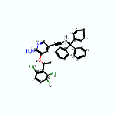 CC(Oc1cc(C#C[SiH2]C(c2ccccc2)(c2ccccc2)c2ccccc2)cnc1N)c1c(Cl)ccc(F)c1Cl